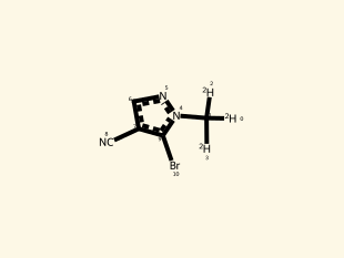 [2H]C([2H])([2H])n1ncc(C#N)c1Br